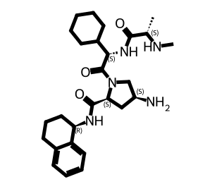 CN[C@@H](C)C(=O)N[C@H](C(=O)N1C[C@@H](N)C[C@H]1C(=O)N[C@@H]1CCCc2ccccc21)C1CCCCC1